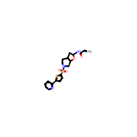 C=CC(=O)NC1CC2CCN(S(=O)(=O)c3ccc(-c4ccccn4)s3)CC2O1